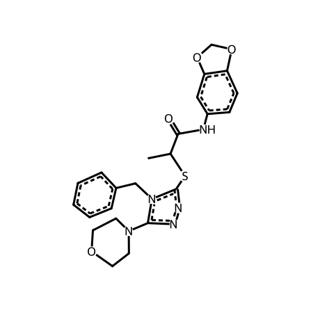 CC(Sc1nnc(N2CCOCC2)n1Cc1ccccc1)C(=O)Nc1ccc2c(c1)OCO2